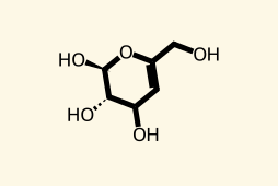 OCC1=CC(O)[C@H](O)[C@@H](O)O1